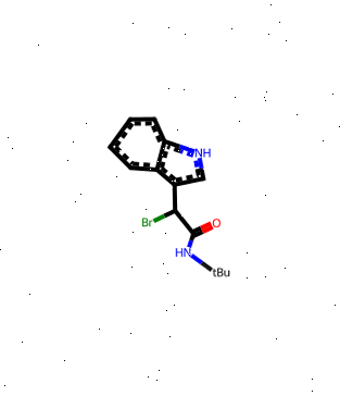 CC(C)(C)NC(=O)C(Br)c1c[nH]c2ccccc12